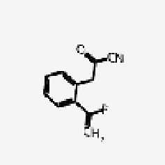 C=C(F)c1ccccc1CC(=O)C#N